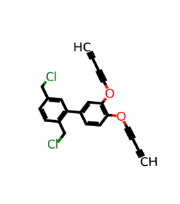 C#CC#COc1ccc(-c2cc(CCl)ccc2CCl)cc1OC#CC#C